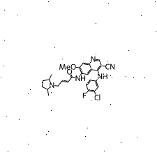 COc1cc2ncc(C#N)c(Nc3ccc(F)c(Cl)c3)c2cc1NC(=O)C=CCN1C(C)CCC1C